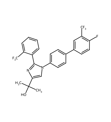 CC(C)(O)c1cn(-c2ccc(-c3ccc(F)c(C(F)(F)F)c3)cc2)c(-c2ccccc2C(F)(F)F)n1